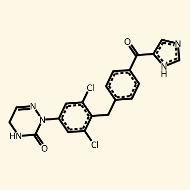 O=C(c1ccc(Cc2c(Cl)cc(N3N=CCNC3=O)cc2Cl)cc1)c1cnc[nH]1